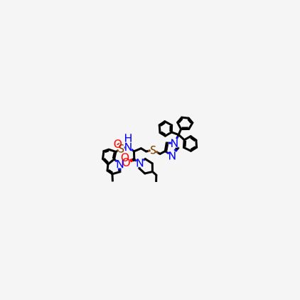 CCC1CCN(C(=O)C(CCSCc2cn(C(c3ccccc3)(c3ccccc3)c3ccccc3)cn2)NS(=O)(=O)c2cccc3cc(C)cnc23)CC1